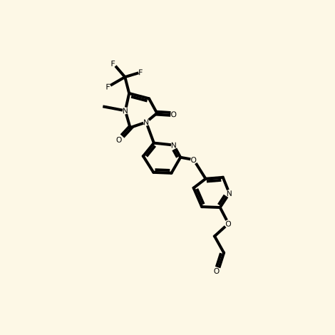 Cn1c(C(F)(F)F)cc(=O)n(-c2cccc(Oc3ccc(OCC=O)nc3)n2)c1=O